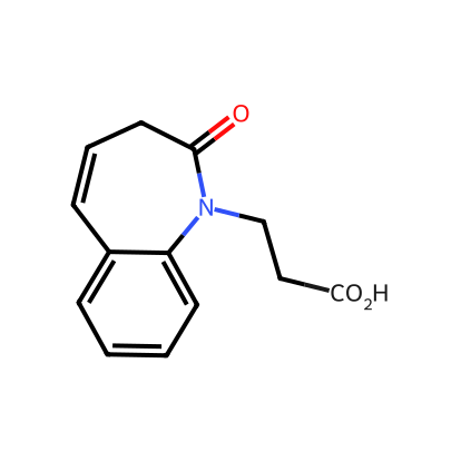 O=C(O)CCN1C(=O)CC=Cc2ccccc21